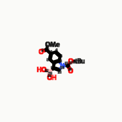 COC(=O)c1ccc2c(c1)c(B(O)O)cn2C(=O)OC(C)(C)C